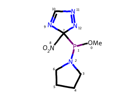 COP(N1CCCC1)C1([N+](=O)[O-])N=CN=N1